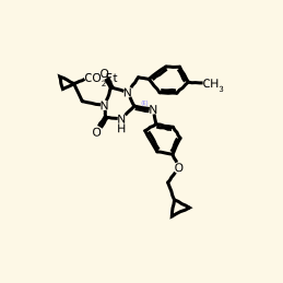 CCOC(=O)C1(Cn2c(=O)[nH]/c(=N\c3ccc(OCC4CC4)cc3)n(Cc3ccc(C)cc3)c2=O)CC1